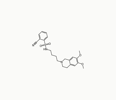 COc1cc2c(cc1OC)CN(CCCCNS(=O)(=O)c1ccccc1C#N)CC2